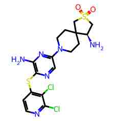 Nc1nc(N2CCC3(CC2)CS(=O)(=O)C[C@H]3N)cnc1Sc1ccnc(Cl)c1Cl